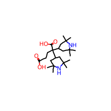 CC1(C)CC(C(CCC(=O)O)(C(=O)O)C2CC(C)(C)NC(C)(C)C2)CC(C)(C)N1